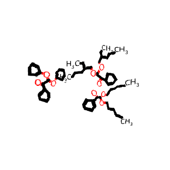 CCCCC(CC)COC(OCC(CC)CCCC)C(=O)c1ccccc1.CCCCCCOC(OCCCCCC)C(=O)c1ccccc1.O=C(c1ccccc1)C(Oc1ccccc1)Oc1ccccc1